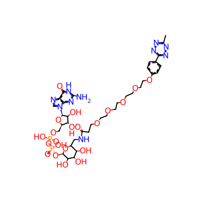 Cc1nnc(-c2ccc(OCCOCCOCCOCCOCCC(=O)NCC3O[C@H](OP(=O)(O)OP(=O)(O)OC[C@H]4O[C@@H](n5cnc6c(=O)[nH]c(N)nc65)C(O)C4O)C(O)C(O)[C@@H]3O)cc2)nn1